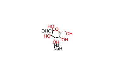 O=CC1(O)O[C@H](CO)[C@@H](O)[C@H](O)[C@H]1O.[NaH].[NaH]